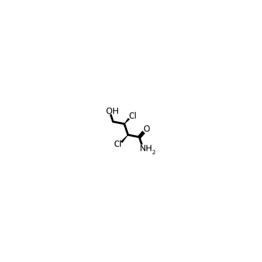 NC(=O)[C@@H](Cl)[C@H](Cl)CO